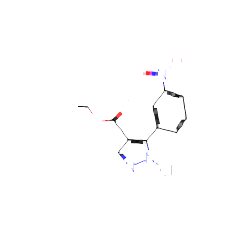 CCOC(=O)c1cnn(C)c1-c1cccc([N+](=O)[O-])c1